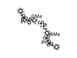 COc1cc(/C=C/C(=O)CC(=O)/C=C/c2ccc(OC(=O)[C@@H](OC(=O)OCc3ccccc3)C(C)C)c(OC)c2)ccc1OC(=O)[C@@H](OC(=O)OCc1ccccc1)C(C)C